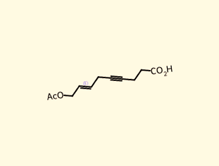 CC(=O)OC/C=C/CC#CCCC(=O)O